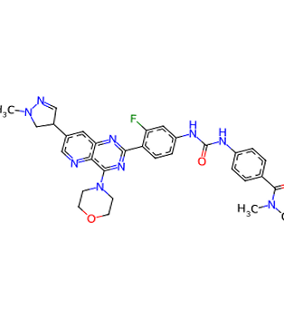 CN1CC(c2cnc3c(N4CCOCC4)nc(-c4ccc(NC(=O)Nc5ccc(C(=O)N(C)C)cc5)cc4F)nc3c2)C=N1